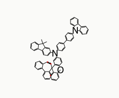 CC1(C)c2ccccc2-c2ccc(N(c3ccc(-c4ccc(-n5c6ccccc6c6ccccc65)cc4)cc3)c3ccc4c(c3)C3(c5ccccc5O4)c4ccccc4-c4ccccc4-c4ccccc43)cc21